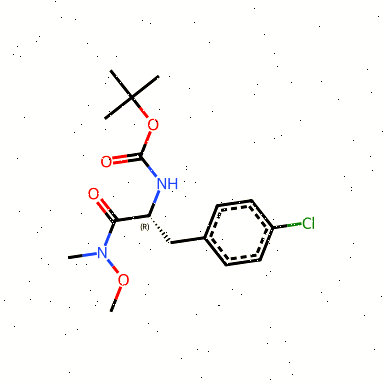 CON(C)C(=O)[C@@H](Cc1ccc(Cl)cc1)NC(=O)OC(C)(C)C